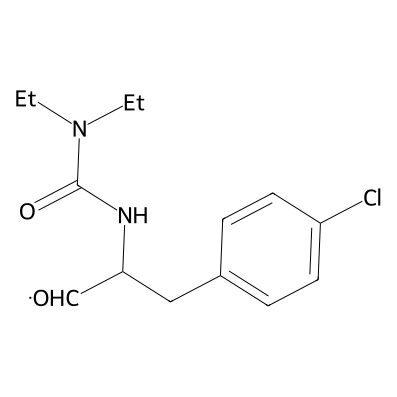 CCN(CC)C(=O)NC([C]=O)Cc1ccc(Cl)cc1